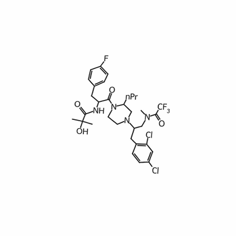 CCCC1CN(C(Cc2ccc(Cl)cc2Cl)CN(C)C(=O)C(F)(F)F)CCN1C(=O)C(Cc1ccc(F)cc1)NC(=O)C(C)(C)O